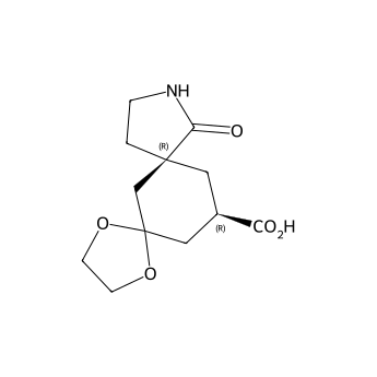 O=C(O)[C@H]1CC2(C[C@]3(CCNC3=O)C1)OCCO2